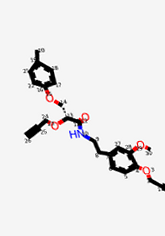 C#CCOc1ccc(CCNC(=O)[C@@H](COc2ccc(C)cc2)OCC#C)cc1OC